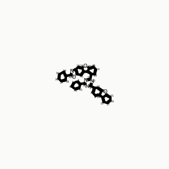 c1ccc(-c2nc(-c3ccc4c(c3)oc3ccccc34)nc(-c3cccc4oc5cc6nc(-c7ccccc7)oc6cc5c34)n2)cc1